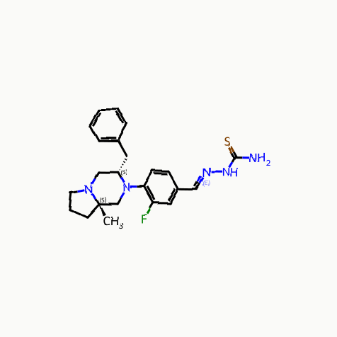 C[C@@]12CCCN1C[C@H](Cc1ccccc1)N(c1ccc(/C=N/NC(N)=S)cc1F)C2